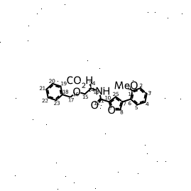 COc1ccccc1-c1coc(C(=O)N[C@@H](COCc2ccccc2)C(=O)O)c1